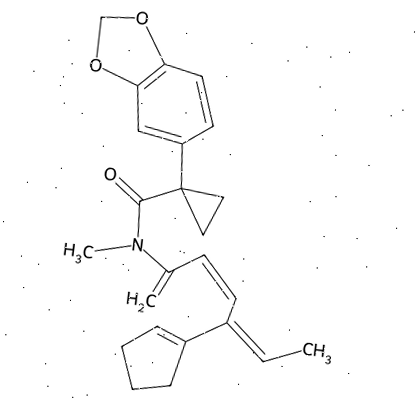 C=C(/C=C\C(=C/C)C1=CCCC1)N(C)C(=O)C1(c2ccc3c(c2)OCO3)CC1